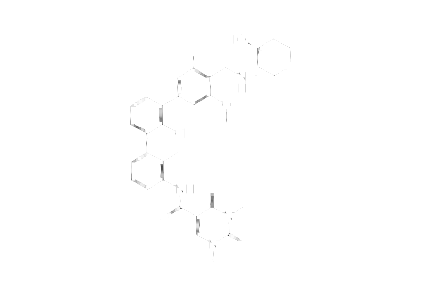 COc1cc(-c2cccc(-c3cccc(NC(=O)c4cn(C)c(=O)n(C)c4=O)c3C)c2Cl)cc(F)c1CN[C@H]1COCC[C@@H]1O